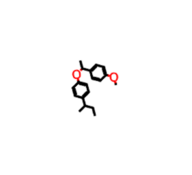 CCC(C)c1ccc(OC(C)c2ccc(OC)cc2)cc1